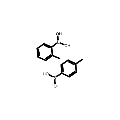 Cc1ccc(B(O)O)cc1.Cc1ccccc1B(O)O